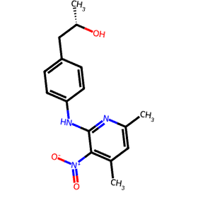 Cc1cc(C)c([N+](=O)[O-])c(Nc2ccc(C[C@H](C)O)cc2)n1